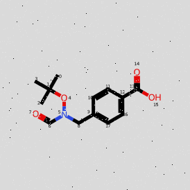 CC(C)(C)ON(C=O)Cc1ccc(C(=O)O)cc1